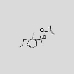 C=C(C)C(=O)OC(C)(C)C1=C(C)C2CC(C)C2=CC1